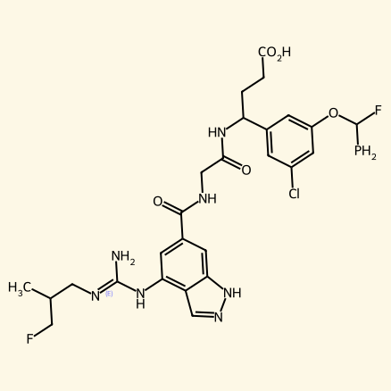 CC(CF)C/N=C(\N)Nc1cc(C(=O)NCC(=O)NC(CCC(=O)O)c2cc(Cl)cc(OC(F)P)c2)cc2[nH]ncc12